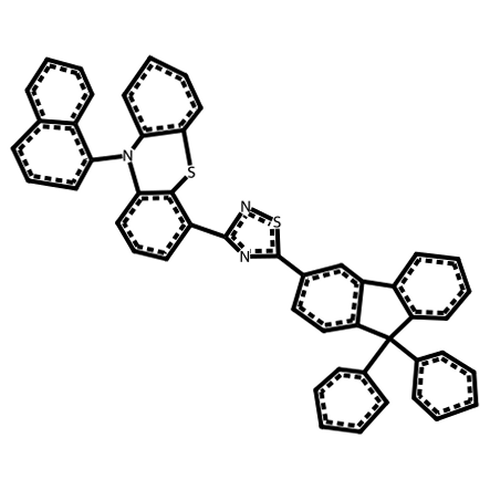 c1ccc(C2(c3ccccc3)c3ccccc3-c3cc(-c4nc(-c5cccc6c5Sc5ccccc5N6c5cccc6ccccc56)ns4)ccc32)cc1